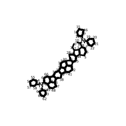 CCC1C2=C(C=C=C=C2C(C)N(c2ccccc2)c2ccccc2)c2cc3c(cc21)-c1ccc2c4cc5c(cc4c4ccc-3c1c42)c1cccc2c(N(c3ccccc3)c3ccccc3)ccc5c21